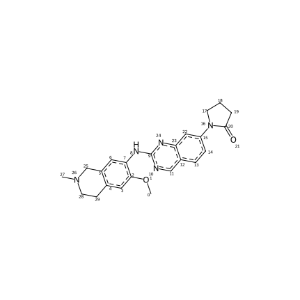 COc1cc2c(cc1Nc1ncc3ccc(N4CCCC4=O)cc3n1)CN(C)CC2